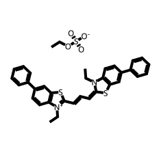 CCN1C(=CC=Cc2sc3cc(-c4ccccc4)ccc3[n+]2CC)Sc2cc(-c3ccccc3)ccc21.CCOS(=O)(=O)[O-]